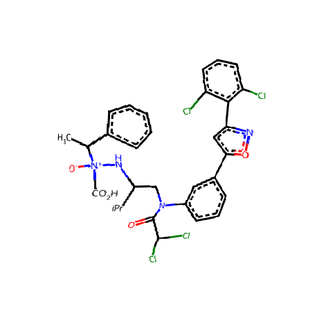 CC(C)C(CN(C(=O)C(Cl)Cl)c1cccc(-c2cc(-c3c(Cl)cccc3Cl)no2)c1)N[N+]([O-])(C(=O)O)C(C)c1ccccc1